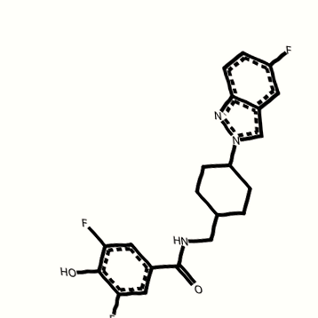 O=C(NCC1CCC(n2cc3cc(F)ccc3n2)CC1)c1cc(F)c(O)c(F)c1